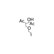 C=CCOCC(C(C)=O)C(O)C(C)=O